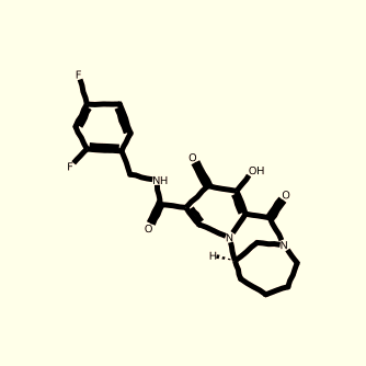 O=C(NCc1ccc(F)cc1F)c1cn2c(c(O)c1=O)C(=O)N1CCCC[C@@H]2C1